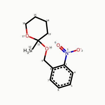 O=[N+]([O-])c1ccccc1COC1([SiH3])CCCCO1